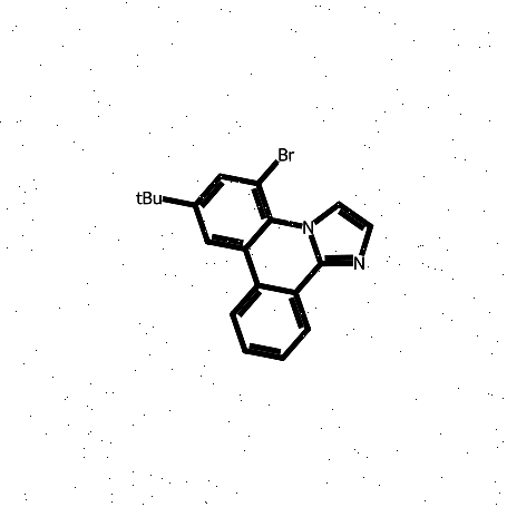 CC(C)(C)c1cc(Br)c2c(c1)c1ccccc1c1nccn12